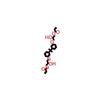 C=CC(=O)OCC(O)COc1cccc(C(C)(C)c2cccc(OCC(O)COC(=O)C=C)c2)c1